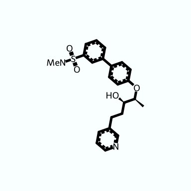 CNS(=O)(=O)c1cccc(-c2ccc(O[C@@H](C)[C@H](O)CCc3cccnc3)cc2)c1